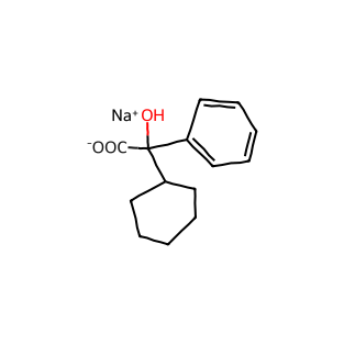 O=C([O-])C(O)(c1ccccc1)C1CCCCC1.[Na+]